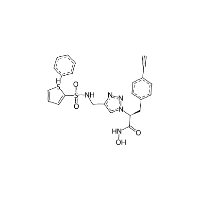 C#Cc1ccc(C[C@@H](C(=O)NO)n2cc(CNS(=O)(=O)C3=CC=C[SH]3c3ccccc3)nn2)cc1